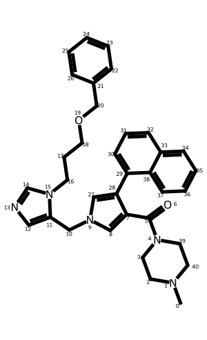 CN1CCN(C(=O)c2cn(Cc3cncn3CCCOCc3ccccc3)cc2-c2cccc3ccccc23)CC1